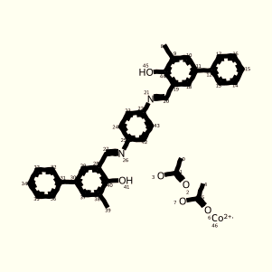 CC(=O)[O-].CC(=O)[O-].Cc1cc(-c2ccccc2)cc(C=Nc2ccc(N=Cc3cc(-c4ccccc4)cc(C)c3O)cc2)c1O.[Co+2]